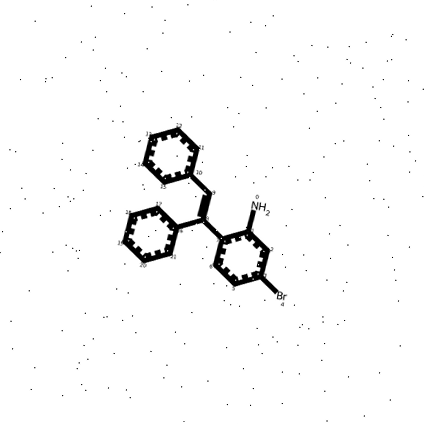 Nc1cc(Br)ccc1C(=Cc1ccccc1)c1ccccc1